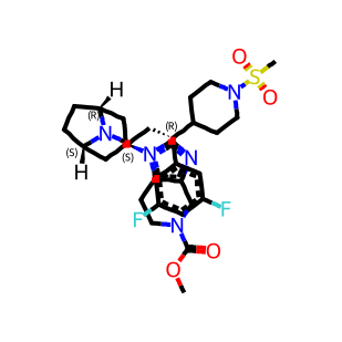 COC(=O)N1CCc2c(ncn2[C@@H]2C[C@H]3CC[C@@H](C2)N3CC[C@@H](c2cc(F)cc(F)c2)C2CCN(S(C)(=O)=O)CC2)C1